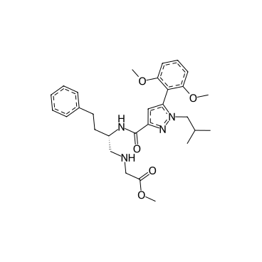 COC(=O)CNC[C@H](CCc1ccccc1)NC(=O)c1cc(-c2c(OC)cccc2OC)n(CC(C)C)n1